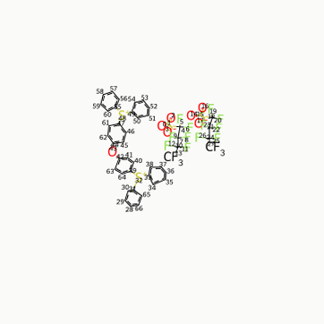 O=S(=O)([O-])C(F)(F)C(F)(F)C(F)(F)C(F)(F)F.O=S(=O)([O-])C(F)(F)C(F)(F)C(F)(F)C(F)(F)F.c1ccc([S+](c2ccccc2)c2ccc(Oc3ccc([S+](c4ccccc4)c4ccccc4)cc3)cc2)cc1